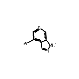 CC(C)c1cbcc2[nH]ncc12